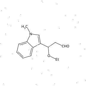 CCOC(CC=O)c1cn(C)c2ccccc12